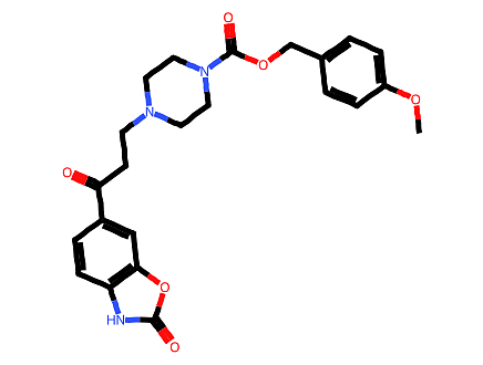 COc1ccc(COC(=O)N2CCN(CCC(=O)c3ccc4[nH]c(=O)oc4c3)CC2)cc1